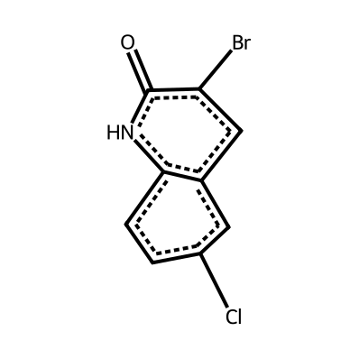 O=c1[nH]c2ccc(Cl)cc2cc1Br